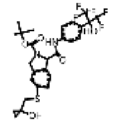 CC(C)(C)OC(=O)N1Cc2cc(SCC3(O)CC3)ccc2C1C(=O)Nc1ccc(C(O)(C(F)(F)F)C(F)(F)F)cc1